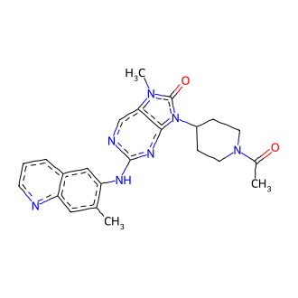 CC(=O)N1CCC(n2c(=O)n(C)c3cnc(Nc4cc5cccnc5cc4C)nc32)CC1